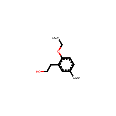 COCOc1ccc(OC)cc1CCO